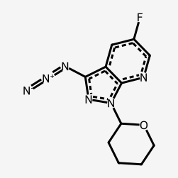 [N-]=[N+]=Nc1nn(C2CCCCO2)c2ncc(F)cc12